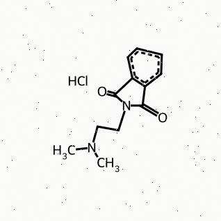 CN(C)CCN1C(=O)c2ccccc2C1=O.Cl